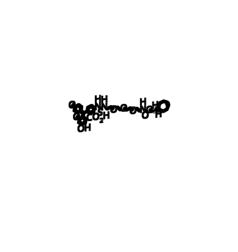 O=C(NCCOCCOCCOCCNC(=S)Nc1ccc(-c2c3ccc(=O)cc-3oc3cc(O)ccc23)c(C(=O)O)c1)OC[C@@H]1[C@@H]2CCC#CCC[C@@H]21